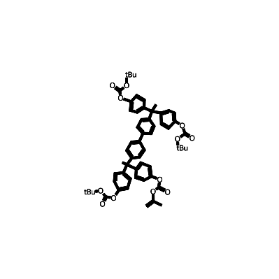 C=C(C)OC(=O)Oc1ccc(C(C)(c2ccc(OC(=O)OC(C)(C)C)cc2)c2ccc(-c3ccc(C(C)(c4ccc(OC(=O)OC(C)(C)C)cc4)c4ccc(OC(=O)OC(C)(C)C)cc4)cc3)cc2)cc1